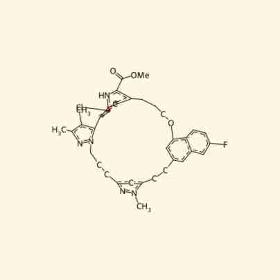 COC(=O)c1[nH]c2c3c(Cl)ccc2c1CCCOc1cc(cc2cc(F)ccc12)CCc1cc(nn1C)CCCn1nc(C)c(C)c1-3